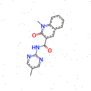 Cc1cnc(NC(=O)c2cc3ccccc3n(C)c2=O)nc1